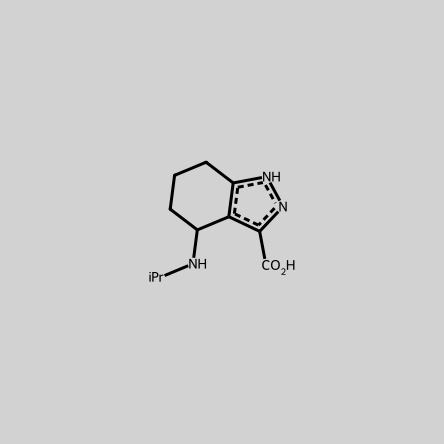 CC(C)NC1CCCc2[nH]nc(C(=O)O)c21